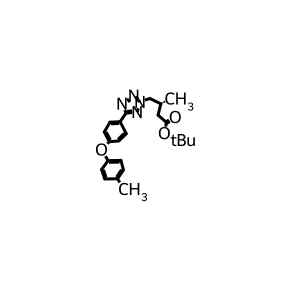 Cc1ccc(Oc2ccc(-c3nnn(C[C@H](C)CC(=O)OC(C)(C)C)n3)cc2)cc1